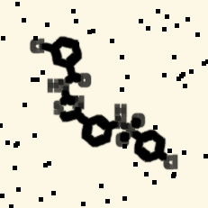 O=C(Nc1nc(-c2cccc(NS(=O)(=O)c3ccc(Cl)cc3)c2)cs1)c1cccc(Cl)c1